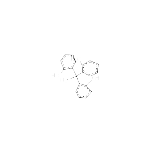 Cc1ccccc1C(C)(c1ccccc1C)c1ccccc1C